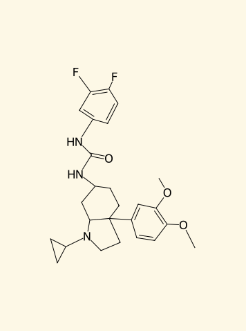 COc1ccc(C23CCC(NC(=O)Nc4ccc(F)c(F)c4)CC2N(C2CC2)CC3)cc1OC